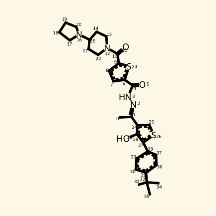 C/C(=N\NC(=O)c1ccc(C(=O)N2CCC(N3CCCC3)CC2)s1)c1csc(-c2ccc(C(C)(C)C)cc2)c1O